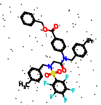 Cc1ccc(CN(CC(=O)N(Cc2ccc(C(C)C)cc2)c2ccc(C(=O)OCc3ccccc3)cc2)S(=O)(=O)c2c(F)c(F)c(F)c(F)c2F)cc1